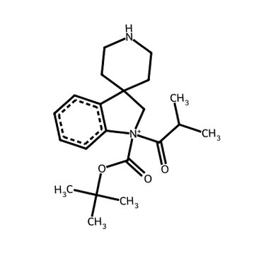 CC(C)C(=O)[N+]1(C(=O)OC(C)(C)C)CC2(CCNCC2)c2ccccc21